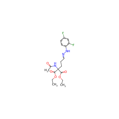 CCOC(=O)C(CCC=NNc1ccc(F)cc1F)(NC(C)=O)C(=O)OCC